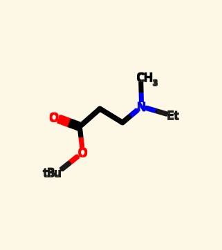 CCN(C)CCC(=O)OC(C)(C)C